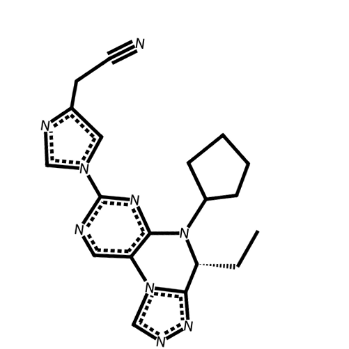 CC[C@@H]1c2nncn2-c2cnc(-n3cnc(CC#N)c3)nc2N1C1CCCC1